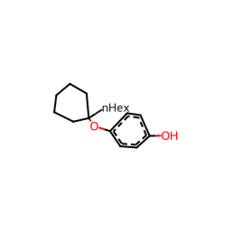 CCCCCCC1(Oc2ccc(O)cc2)CCCCC1